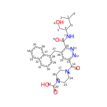 CC(C)CC(CO)NC(=O)c1nnc(C(=O)N2CCN(C(=O)O)CC2)cc1Cc1cccc2ccccc12